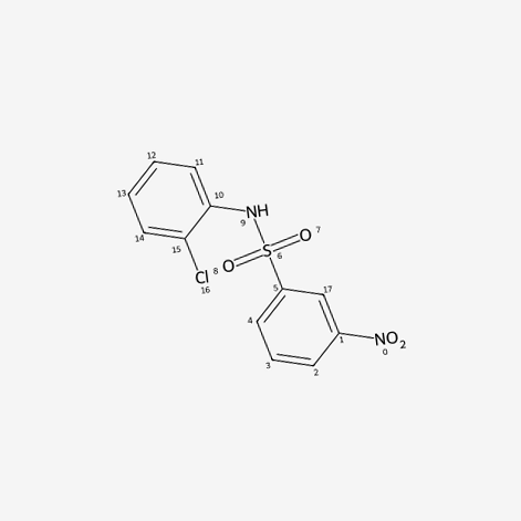 O=[N+]([O-])c1cccc(S(=O)(=O)Nc2ccccc2Cl)c1